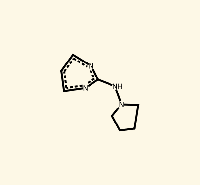 c1cnc(NN2CCCC2)nc1